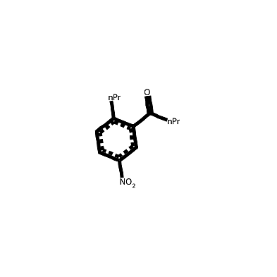 CCCC(=O)c1cc([N+](=O)[O-])ccc1CCC